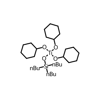 CCCC[Si](CCCC)(CCCC)[O][Ti]([O]C1CCCCC1)([O]C1CCCCC1)[O]C1CCCCC1